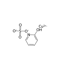 O=S(=O)([O-])[O-].Oc1ccccn1.[Cu+2]